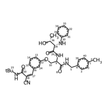 Cc1ccc(CNC(=O)C(COc2cccc(C=C(C#N)C(=O)NC(C)(C)C)c2)NC(=O)[C@@H](Nc2ccccc2)[C@@H](C)O)cc1